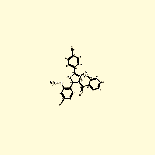 COc1cc(F)ccc1C1SC(c2ccc(Br)cc2)=NN1C(=O)c1ccccc1C